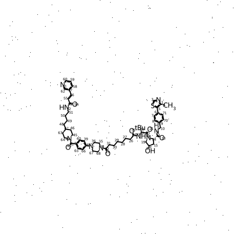 Cc1ncsc1-c1ccc(CNC(=O)[C@@H]2C[C@@H](O)CN2C(=O)[C@@H](NC(=O)CCCCCCC(=O)N2CCN(c3ccc(C(=O)N4CCC(CCCCNC(=O)/C=C/c5cccnc5)CC4)cc3)CC2)C(C)(C)C)cc1